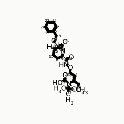 CCC(CCONC(=O)[C@@H]1CC[C@@H]2CN1C(=O)N2OCc1ccccc1)N(C(=O)O)C(C)(C)C